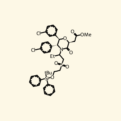 CCC(CS(=O)(=O)CCO[Si](c1ccccc1)(c1ccccc1)C(C)(C)C)N1C(=O)[C@H](CC(=O)OC)O[C@H](c2cccc(Cl)c2)[C@H]1c1ccc(Cl)cc1